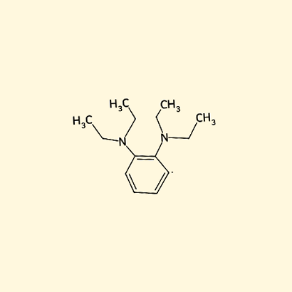 CCN(CC)c1[c]cccc1N(CC)CC